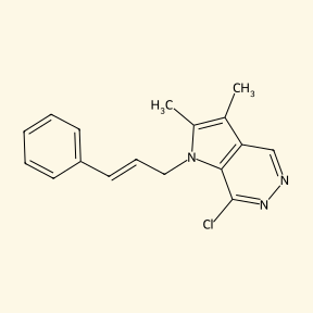 Cc1c(C)n(C/C=C/c2ccccc2)c2c(Cl)nncc12